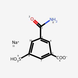 NC(=O)c1cc(C(=O)[O-])cc(S(=O)(=O)O)c1.[Na+]